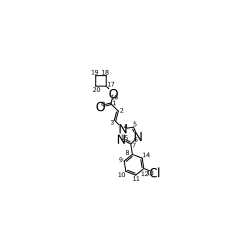 O=C(C=Cn1cnc(-c2cccc(Cl)c2)n1)OC1CCC1